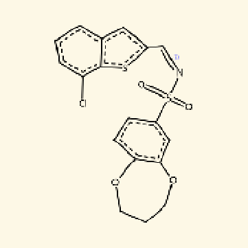 O=S(=O)(/N=C\c1cc2cccc(Cl)c2s1)c1ccc2c(c1)OCCCO2